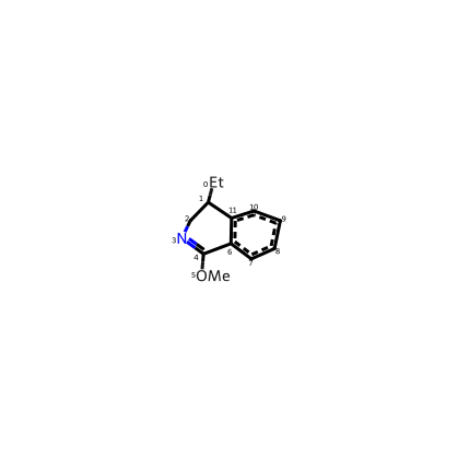 CCC1CN=C(OC)c2ccccc21